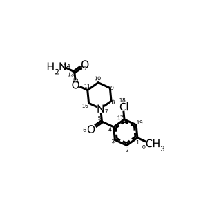 Cc1ccc(C(=O)N2CCCC(OC(N)=O)C2)c(Cl)c1